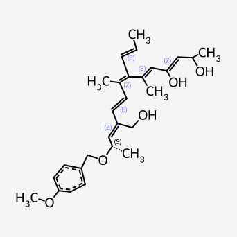 C/C=C/C(=C(C)/C=C/C(=C/[C@H](C)OCc1ccc(OC)cc1)CO)C(/C)=C/C(O)=C/C(C)O